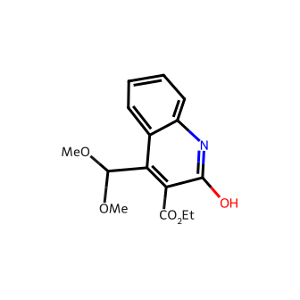 CCOC(=O)c1c(O)nc2ccccc2c1C(OC)OC